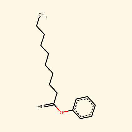 [CH]=C(CCCCCCCCC)Oc1ccccc1